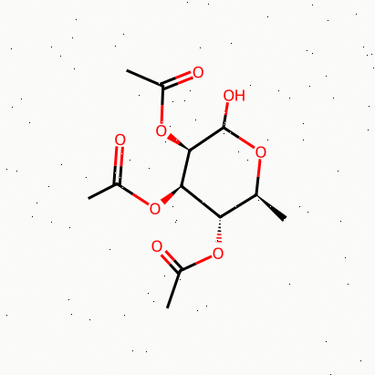 CC(=O)O[C@@H]1[C@@H](OC(C)=O)[C@@H](OC(C)=O)C(O)O[C@H]1C